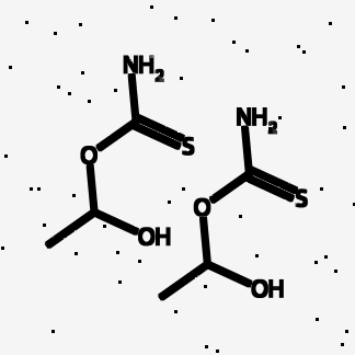 CC(O)OC(N)=S.CC(O)OC(N)=S